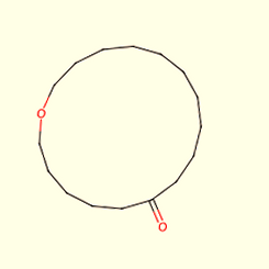 O=C1CCCCCCCCCCOCCCCC1